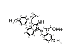 COCOC[C@H](Cc1ccc(C)cc1)n1c(=N)n(C(c2ccc(C)cc2)C2CC2)c2ccccc21